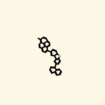 Cc1ccc2ccc3c(C4=CC5c6cc(-c7cccc8ccccc78)ccc6OC5C=C4)ccc4ccc1c2c43